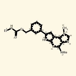 CCNC(=O)OCc1cccc(-c2cc3c(nc(NC)c4ncn(C)c43)[nH]2)c1